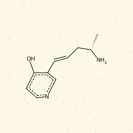 C[C@H](N)CC=Cc1cnccc1O